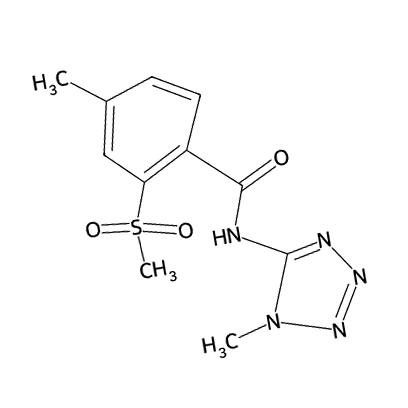 Cc1ccc(C(=O)Nc2nnnn2C)c(S(C)(=O)=O)c1